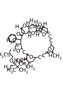 C=C1CC2CC[C@@]34C[C@H]5O[C@H]6[C@@H](O3)[C@H]3O[C@H](CC[C@@H]3O[C@H]6[C@H]5O4)CC(=O)C(c3ccccc3)C3C(C[C@H]4OC(CC[C@@H]1O2)C[C@@H](C)C4=C)O[C@H](C[C@H](C)CO[Si](C)(C)C(C)(C)C)[C@@H]3C